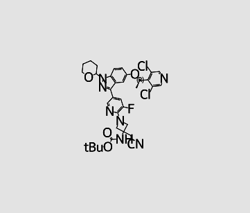 C[C@@H](Oc1ccc2c(c1)c(-c1cnc(N3CC(CC#N)(NC(=O)OC(C)(C)C)C3)c(F)c1)nn2C1CCCCO1)c1c(Cl)cncc1Cl